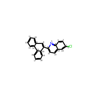 Clc1ccc2nc(-c3cc4ccccc4c4ccccc34)ccc2c1